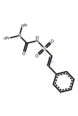 CCCN(CCC)C(=O)NS(=O)(=O)/C=C/c1ccccc1